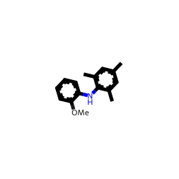 COc1ccccc1Nc1c(C)cc(C)cc1C